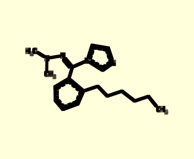 CCCCCCc1ccccc1/C(=N\N(C)C)n1ccnc1